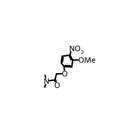 COc1cc(OCC(=O)N(C)C)ccc1[N+](=O)[O-]